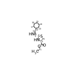 CCOC(=O)[C@@H]1CSC([C@@H]2NC2c2ccccc2)N1